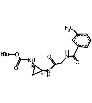 CC(C)(C)OC(=O)N[C@@H]1C[C@@H]1NC(=O)CNC(=O)c1cccc(C(F)(F)F)c1